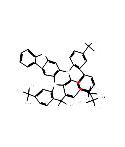 CC(C)(C)c1ccc(-c2cc(C(C)(C)C)ccc2N2c3cc4oc5ccccc5c4cc3B3c4cc(C(C)(C)C)ccc4C(C)(C)c4cc(C(C)(C)C)cc2c43)cc1